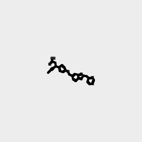 CC#CC(CC(=O)O)c1ccc(OCc2ccc3cn(Cc4ccncn4)nc3c2)cc1